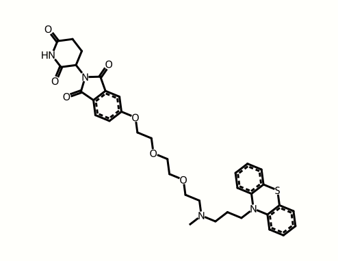 CN(CCCN1c2ccccc2Sc2ccccc21)CCOCCOCCOc1ccc2c(c1)C(=O)N(C1CCC(=O)NC1=O)C2=O